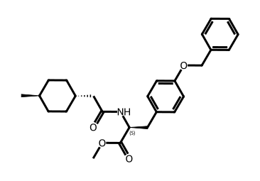 COC(=O)[C@H](Cc1ccc(OCc2ccccc2)cc1)NC(=O)C[C@H]1CC[C@H](C)CC1